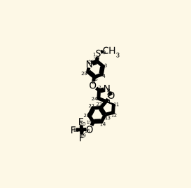 CSc1ccc(OC2=NO[C@@]3(CCc4cc(OC(F)(F)F)ccc43)C2)cn1